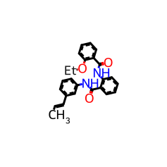 CC=Cc1cccc(NC(=O)c2ccccc2NC(=O)c2ccccc2OCC)c1